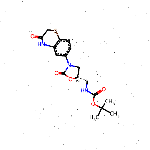 CC(C)(C)OC(=O)NC[C@H]1CN(c2ccc3c(c2)NC(=O)CS3)C(=O)O1